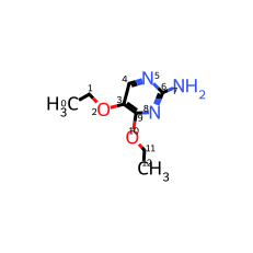 CCOc1cnc(N)nc1OCC